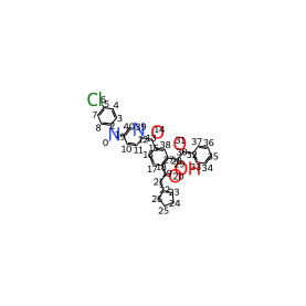 CN(c1ccc(Cl)cc1)c1ccc(C(=O)c2ccc(C(=O)CC3CCCC3)c(C(O)C(=O)c3ccccc3)c2)nc1